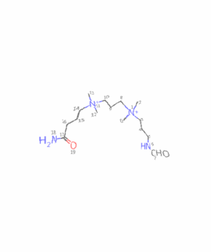 C[N+](C)(CCCNC=O)CCC[N+](C)(C)CCCC(N)=O